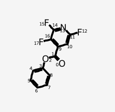 O=C(Oc1ccccc1)c1cc(F)nc(F)c1F